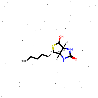 O=CCCCC[C@@H]1SC(O)[C@@H]2NC(=O)N[C@H]12